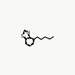 CCCCCc1cccc2s[c]nc12